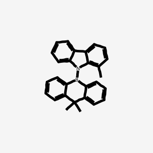 Cc1cccc2c3ccccc3n(B3c4ccccc4C(C)(C)c4ccccc43)c12